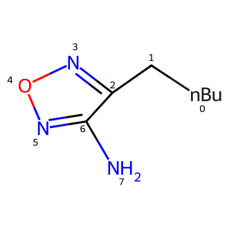 CCCCCc1nonc1N